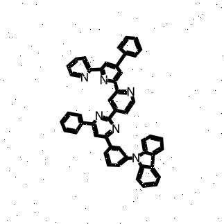 c1ccc(-c2cc(-c3ccccn3)nc(-c3cc(-c4nc(-c5ccccc5)cc(-c5cccc(-n6c7ccccc7c7ccccc76)c5)n4)ccn3)c2)cc1